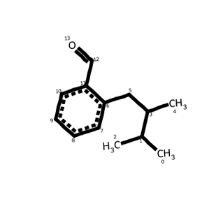 CC(C)C(C)Cc1ccccc1[C]=O